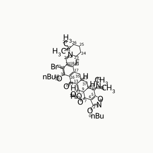 CCCCOc1noc2c1C(=O)[C@@]1(O)C(O)=C3C(=O)c4c(c(F)c(CN5CCCCC5(C)C)c(Br)c4OCCCC)C[C@H]3C[C@H]1[C@@H]2N(C)C